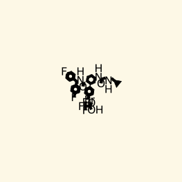 O=C(CNCC1CC1)N[C@@H]1CC[C@@H](C(=O)NC(c2ccc(F)cc2)c2ccc(F)cc2)[C@H](c2ccc(Br)cc2)C1.O=C(O)C(F)(F)F